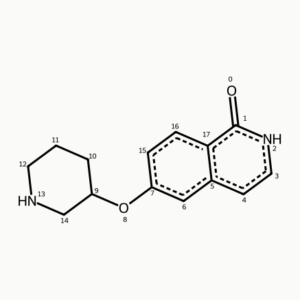 O=c1[nH]ccc2cc(OC3CCCNC3)ccc12